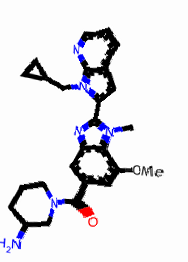 COc1cc(C(=O)N2CCCC(N)C2)cc2nc(-c3cc4cccnc4n3CC3CC3)n(C)c12